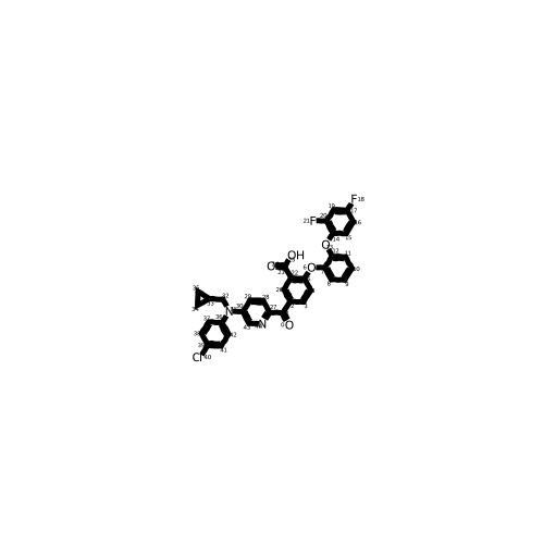 O=C(c1ccc(Oc2ccccc2Oc2ccc(F)cc2F)c(C(=O)O)c1)c1ccc(N(CC2CC2)c2ccc(Cl)cc2)cn1